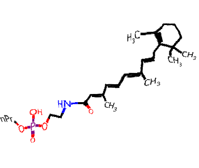 [CH2][CH]COP(=O)(O)OCCNC(=O)/C=C(C)/C=C/C=C(C)/C=C/C1=C(C)CCCC1(C)C